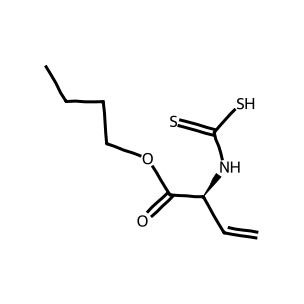 C=C[C@H](NC(=S)S)C(=O)OCCCC